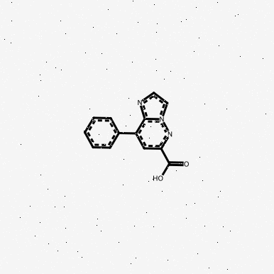 O=C(O)c1cc(-c2ccccc2)c2nccn2n1